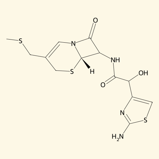 CSCC1=CN2C(=O)C(NC(=O)C(O)c3csc(N)n3)[C@@H]2SC1